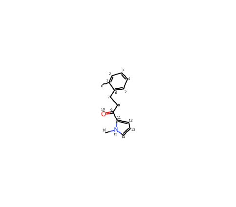 Cc1ccccc1CCC(=O)c1cccn1C